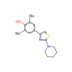 CC(C)(C)c1cc(-c2csc(N3CCCCC3)n2)cc(C(C)(C)C)c1O